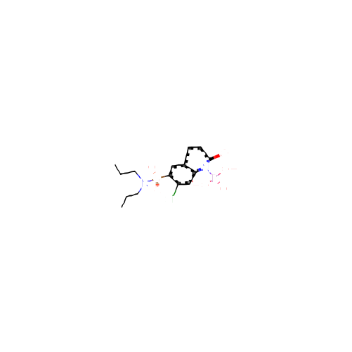 CCCN(CCC)S(=O)(=O)c1cc2c[c]c(=O)n(P(=O)(O)O)c2cc1Cl